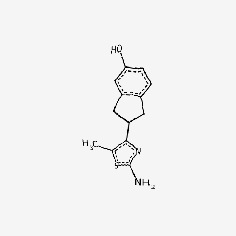 Cc1sc(N)nc1C1Cc2ccc(O)cc2C1